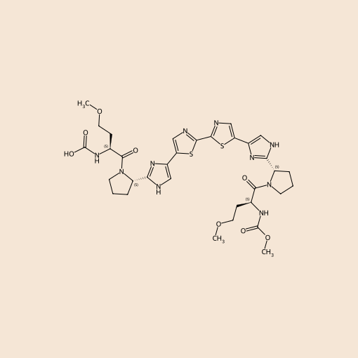 COCC[C@H](NC(=O)O)C(=O)N1CCC[C@H]1c1nc(-c2cnc(-c3ncc(-c4c[nH]c([C@@H]5CCCN5C(=O)[C@H](CCOC)NC(=O)OC)n4)s3)s2)c[nH]1